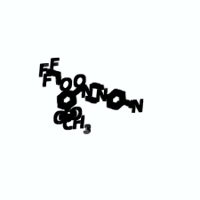 CS(=O)(=O)c1ccc(OCCC(F)(F)F)c(C(=O)N2CCN(c3ccc(C#N)cc3)CC2)c1